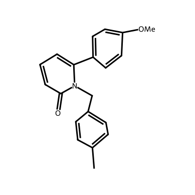 COc1ccc(-c2cccc(=O)n2Cc2ccc(C)cc2)cc1